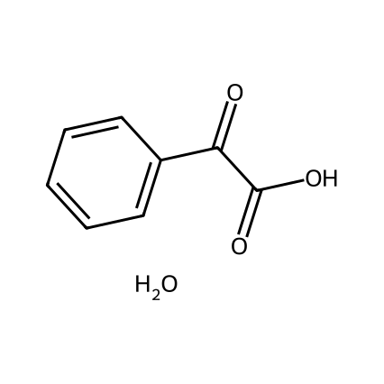 O.O=C(O)C(=O)c1ccccc1